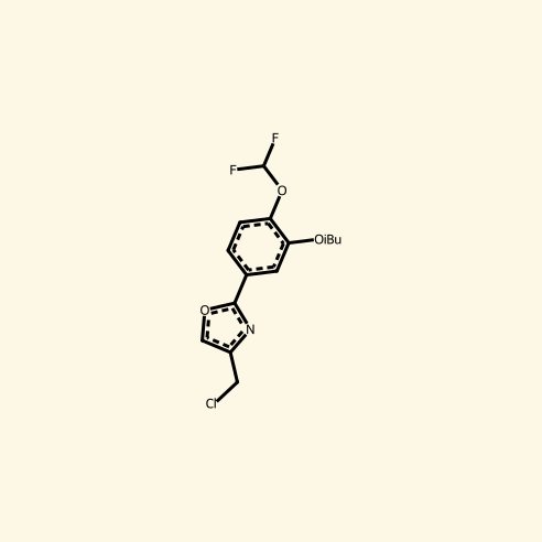 CC(C)COc1cc(-c2nc(CCl)co2)ccc1OC(F)F